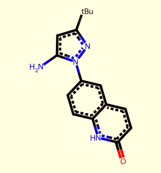 CC(C)(C)c1cc(N)n(-c2ccc3[nH]c(=O)ccc3c2)n1